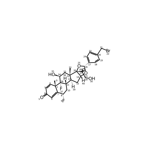 C[C@]12C=CC(=O)C=C1[C@@H](F)C[C@H]1[C@@H]3C[C@H]4O[C@@H](c5ccc(CBr)cc5)O[C@@]4(C(=O)CO)[C@@]3(C)C[C@H](O)[C@@]12F